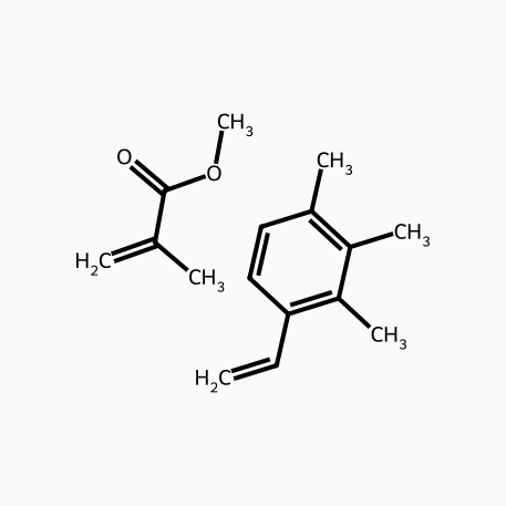 C=C(C)C(=O)OC.C=Cc1ccc(C)c(C)c1C